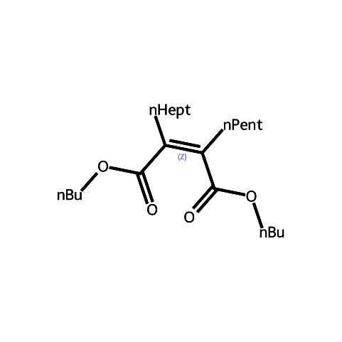 CCCCCCC/C(C(=O)OCCCC)=C(\CCCCC)C(=O)OCCCC